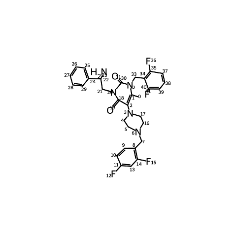 Cc1c(N2CCN(Cc3ccc(F)cc3F)CC2)c(=O)n(CC(N)c2ccccc2)c(=O)n1Cc1c(F)cccc1F